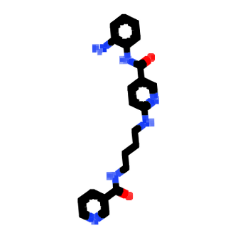 Nc1ccccc1NC(=O)c1ccc(NCCCCNC(=O)c2cccnc2)nc1